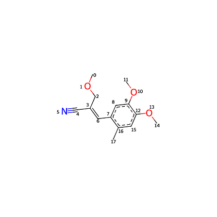 COCC(C#N)=Cc1cc(OC)c(OC)cc1C